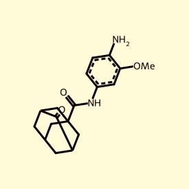 COc1cc(NC(=O)C23CC4CC(C2)C(=O)C(C4)C3)ccc1N